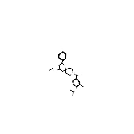 CCOC1CC(c2ccc(F)cc2)OC2(CCN(C(=O)c3ccc(OC(C)C)c(C)c3)CC2)C1